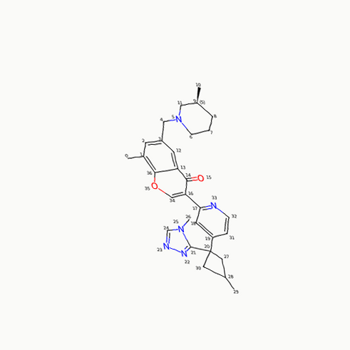 Cc1cc(CN2CCC[C@H](C)C2)cc2c(=O)c(-c3cc(C4(c5nncn5C)CC(C)C4)ccn3)coc12